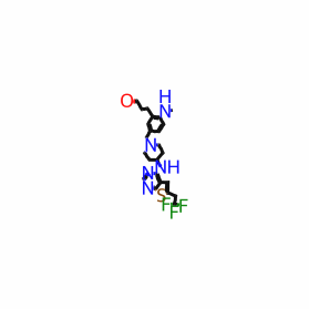 CNc1ccc(CN2CCC(Nc3ncnc4sc(CC(F)(F)F)cc34)CC2)cc1CCC=O